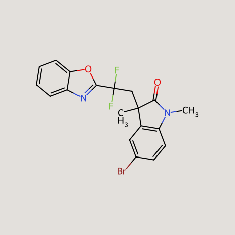 CN1C(=O)C(C)(CC(F)(F)c2nc3ccccc3o2)c2cc(Br)ccc21